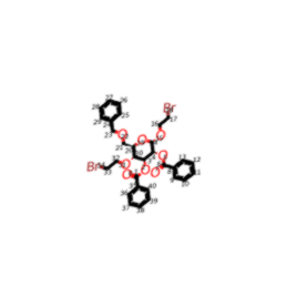 O=C(O[C@@H]1[C@@H](OC(=O)c2ccccc2)[C@@H](OCCBr)O[C@H](COCc2ccccc2)[C@H]1OCCBr)c1ccccc1